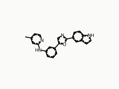 Cc1ccnc(Nc2cccc(-c3cnc(-c4ccc5[nH]ccc5c4)o3)c2)c1